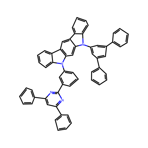 c1ccc(-c2cc(-c3ccccc3)cc(-n3c4ccccc4c4cc5c6ccccc6n(-c6cccc(-c7nc(-c8ccccc8)cc(-c8ccccc8)n7)c6)c5cc43)c2)cc1